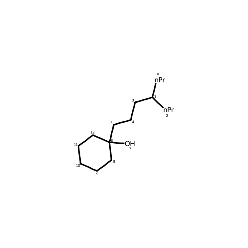 CCCC(CCC)CCCC1(O)CCCCC1